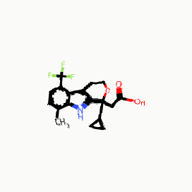 Cc1ccc(C(F)(F)F)c2c3c([nH]c12)C(CC(=O)O)(C1CC1)OCC3